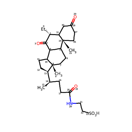 CC[C@H]1C(=O)C2C(CC[C@@]3(C)C2CC[C@@H]3[C@H](C)CCC(=O)NCCS(=O)(=O)O)[C@@]2(C)CCC(=O)CC12